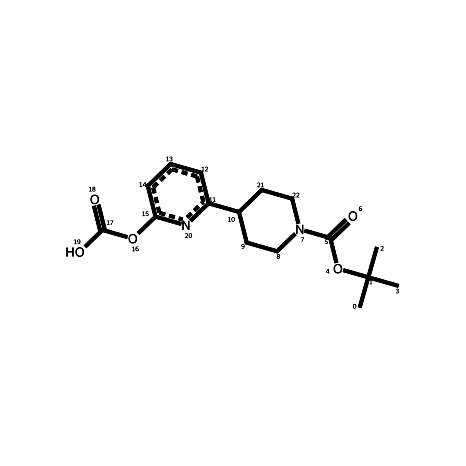 CC(C)(C)OC(=O)N1CCC(c2cccc(OC(=O)O)n2)CC1